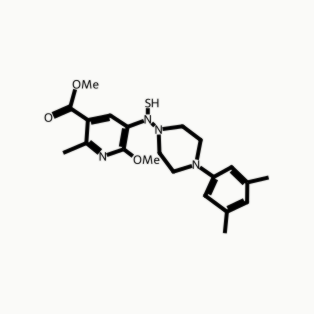 COC(=O)c1cc(N(S)N2CCN(c3cc(C)cc(C)c3)CC2)c(OC)nc1C